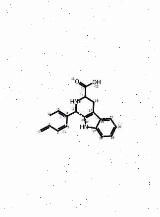 C=C/C=C\C(=C/C)C1NC(C(=O)O)Cc2c1[nH]c1ccccc21